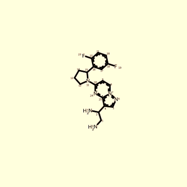 NCC(N)c1cnn2ccc(N3CCCC3c3cc(F)ccc3F)nc12